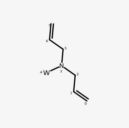 C=CC[N]([W])CC=C